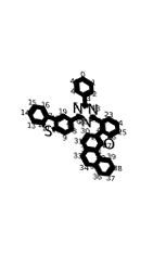 c1ccc(-c2nc(-c3ccc4sc5ccccc5c4c3)nc(-c3cccc4oc5c(ccc6ccc7ccccc7c65)c34)n2)cc1